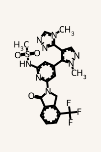 Cn1cnnc1-c1cnn(C)c1-c1cc(NS(C)(=O)=O)nc(N2Cc3c(cccc3C(F)(F)F)C2=O)c1